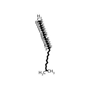 CC(C)CCCCCCCCCCC(F)(F)C(F)(F)C(F)(F)C(F)(F)C(F)(F)C(F)(F)C(F)(F)C(F)(F)C(F)(F)C(F)(F)C(F)(F)C(F)(F)C(C)(F)F